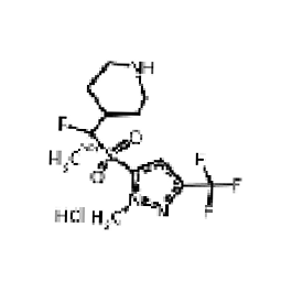 Cl.Cn1nc(C(F)(F)F)cc1S(=O)(=O)[C@@](C)(F)C1CCNCC1